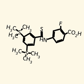 CS(C)(C)c1cc(C(=S)Nc2ccc(C(=O)O)c(F)c2)cc(S(C)(C)C)c1